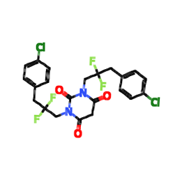 O=C1CC(=O)N(CC(F)(F)Cc2ccc(Cl)cc2)C(=O)N1CC(F)(F)Cc1ccc(Cl)cc1